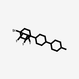 CC1CCC(C2CCC(C34CCC(Br)(CC3)C(F)C4(F)F)CC2)CC1